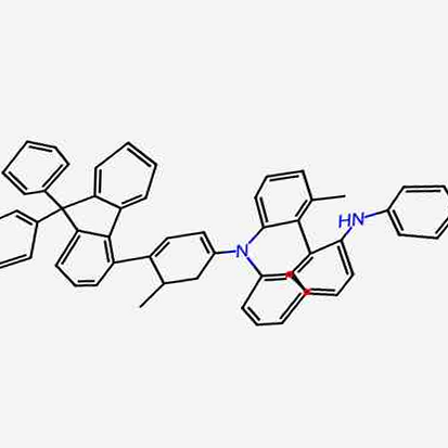 Cc1cccc(N(C2=CC=C(c3cccc4c3-c3ccccc3C4(c3ccccc3)c3ccccc3)C(C)C2)c2ccccc2)c1-c1ccccc1Nc1ccccc1